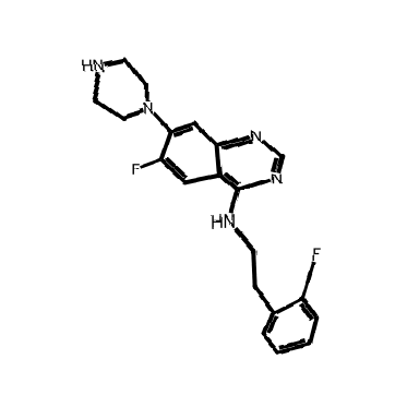 Fc1ccccc1CCNc1ncnc2cc(N3CCNCC3)c(F)cc12